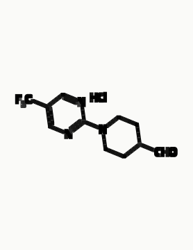 Cl.O=CC1CCN(c2ncc(C(F)(F)F)cn2)CC1